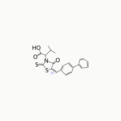 CC(C)C(C(=O)O)N1C(=O)/C(=C\c2ccc(-c3ccccc3)cc2)SC1=S